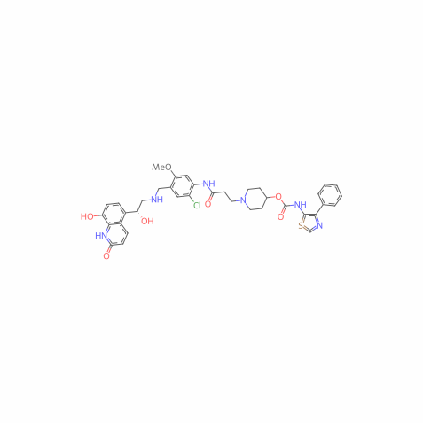 COc1cc(NC(=O)CCN2CCC(OC(=O)Nc3scnc3-c3ccccc3)CC2)c(Cl)cc1CNC[C@H](O)c1ccc(O)c2[nH]c(=O)ccc12